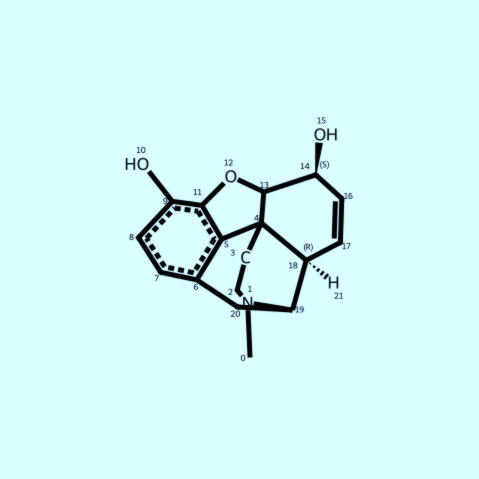 CN1CCC23c4c5ccc(O)c4OC2[C@@H](O)C=C[C@H]3C1C5